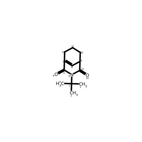 CC(C)(C)N1C(=O)C2=CC(CCC2)C1=O